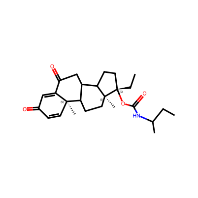 CCC(C)NC(=O)O[C@@]1(CC)CCC2C3CC(=O)C4=CC(=O)C=C[C@]4(C)C3CC[C@@]21C